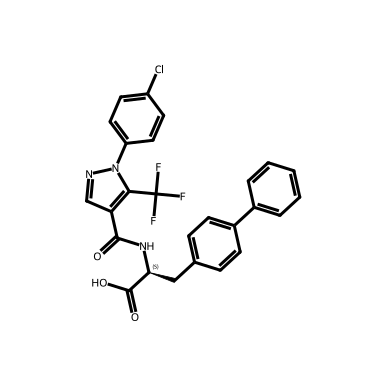 O=C(N[C@@H](Cc1ccc(-c2ccccc2)cc1)C(=O)O)c1cnn(-c2ccc(Cl)cc2)c1C(F)(F)F